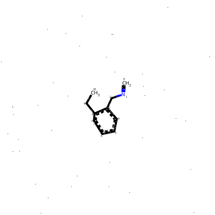 C=NCc1ccccc1CC